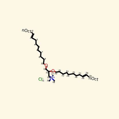 CCCCCCCCC=CCCCCCCCCOCC(C[N+](C)(C)C)OCCCCCCCCC=CCCCCCCCC.[Cl-]